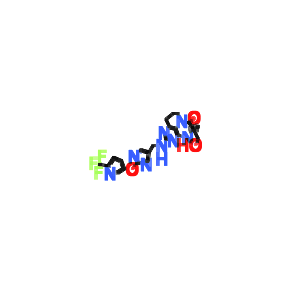 CN1c2nc(NCc3cnc(Oc4ccc(C(F)(F)F)nc4)nc3)nc3c2N(CCC3)C(=O)[C@]1(C)CO